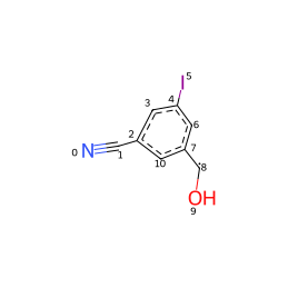 N#Cc1cc(I)cc([CH]O)c1